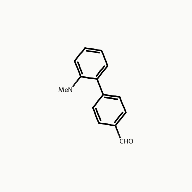 CNc1ccccc1-c1ccc(C=O)cc1